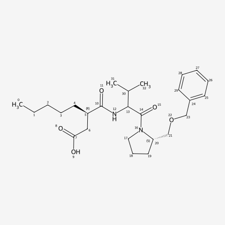 CCCCC[C@H](CC(=O)O)C(=O)NC(C(=O)N1CCC[C@H]1COCc1ccccc1)C(C)C